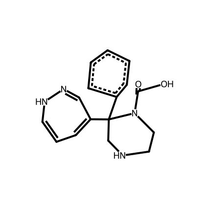 O=C(O)N1CCNCC1(C1=CC=CNN=C1)c1ccccc1